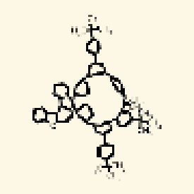 CC(C)(C)c1ccc(-c2cc3cc(c2)-c2cccc(c2)C2(c4cccc(c4)-c4cc(-c5ccc(C(C)(C)C)cc5)cc(c4)-c4ccc(C(C)(C)C)cc4C(C)(C)c4ccc-3cc4)c3ccccc3-c3c2ccc2oc4ccccc4c32)cc1